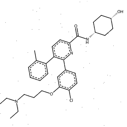 CCN(CC)CCCOc1cc(-c2nc(C(=O)N[C@H]3CC[C@@H](O)CC3)ccc2-c2ccccc2C)ccc1Cl